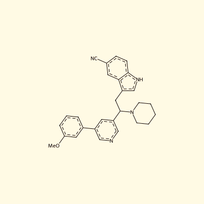 COc1cccc(-c2cncc(C(Cc3c[nH]c4ccc(C#N)cc34)N3CCCCC3)c2)c1